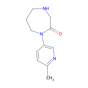 Cc1ccc(N2CCCNCC2=O)cn1